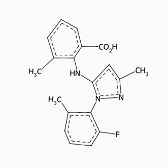 Cc1cc(Nc2c(C)cccc2C(=O)O)n(-c2c(C)cccc2F)n1